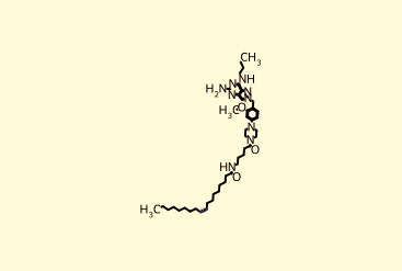 CCCCCCCC/C=C\CCCCCCCC(=O)NCCCCC(=O)N1CCN(c2ccc(Cn3cc4nc(N)nc(NCCCC)c4n3)c(OC)c2)CC1